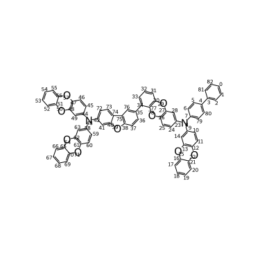 c1ccc(-c2ccc(N(c3ccc4c(c3)Oc3ccccc3O4)c3ccc4c(c3)Oc3cccc(-c5ccc6oc7cc(N(c8ccc9c(c8)Oc8ccccc8O9)c8ccc9c(c8)Oc8ccccc8O9)ccc7c6c5)c3O4)cc2)cc1